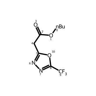 CCCCOC(=O)Cc1nnc(C(F)(F)F)o1